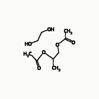 CC(=O)OCC(C)OC(C)=O.OCCO